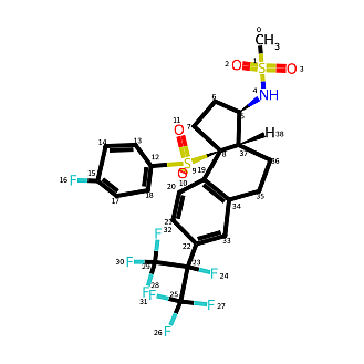 CS(=O)(=O)N[C@@H]1CC[C@@]2(S(=O)(=O)c3ccc(F)cc3)c3ccc(C(F)(C(F)(F)F)C(F)(F)F)cc3CC[C@@H]12